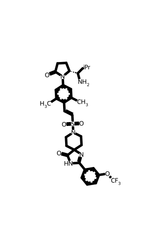 Cc1cc(N2C(=O)CC[C@@H]2C(N)C(C)C)cc(C)c1/C=C/S(=O)(=O)N1CCC2(CC1)N=C(c1cccc(OC(F)(F)F)c1)NC2=O